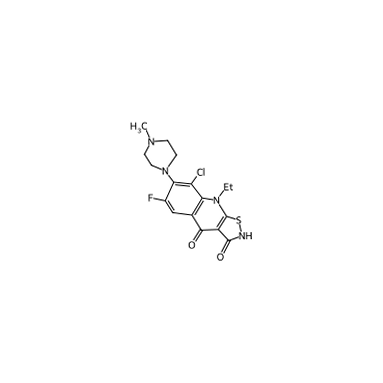 CCn1c2s[nH]c(=O)c2c(=O)c2cc(F)c(N3CCN(C)CC3)c(Cl)c21